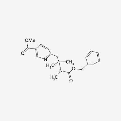 COC(=O)c1ccc(CC(C)(C)N(C)C(=O)OCc2ccccc2)nc1